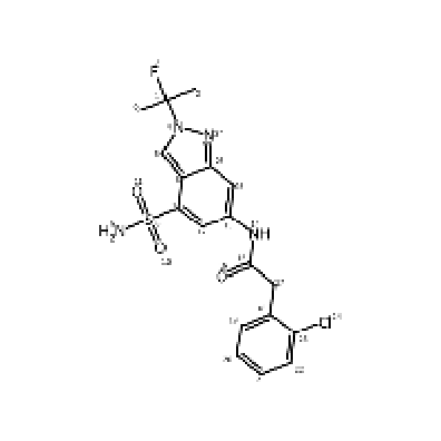 CC(C)(F)n1cc2c(S(N)(=O)=O)cc(NC(=O)Cc3ccccc3Cl)cc2n1